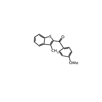 COc1ccc(C(=O)c2sc3ccccc3c2C)cc1